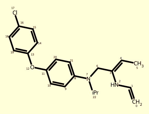 C=CN/C(=C\C)CN(c1ccc(Oc2ccc(Cl)cc2)cc1)C(C)C